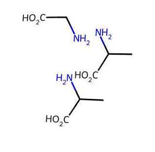 CC(N)C(=O)O.CC(N)C(=O)O.NCC(=O)O